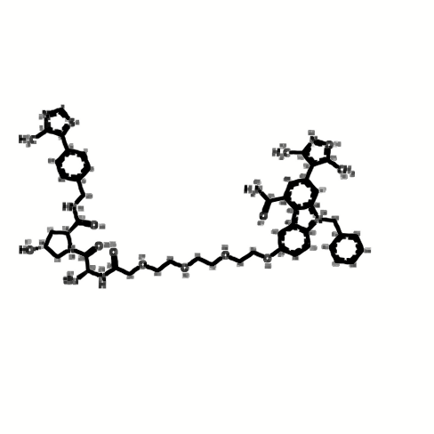 Cc1ncsc1-c1ccc(CNC(=O)[C@@H]2C[C@@H](O)CN2C(=O)[C@@H](NC(=O)COCCOCCOCCOc2ccc3c(c2)c2c(C(N)=O)cc(-c4c(C)noc4C)cc2n3Cc2ccccc2)C(C)(C)C)cc1